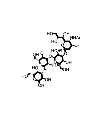 CC(=O)N[C@H]1[C@H](O[C@H]2[C@@H](O)[C@@H](CO)OC(O)[C@@H]2O)O[C@H](CO)[C@@H](O)[C@@H]1O[C@@H]1O[C@H](CO)[C@H](O)[C@H](O[C@]2(C(=O)O)C[C@H](O)[C@@H](NC(C)=O)[C@H]([C@H](O)[C@H](O)CO)O2)[C@H]1O